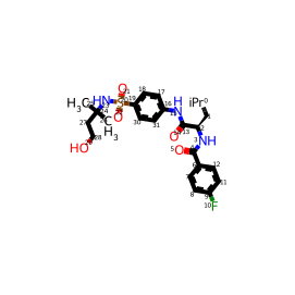 CC(C)C[C@@H](NC(=O)c1ccc(F)cc1)C(=O)Nc1ccc(S(=O)(=O)NC(C)(C)CCO)cc1